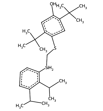 CC(C)c1cccc([SiH2]CSc2cc(C(C)(C)C)c(O)cc2C(C)(C)C)c1C(C)C